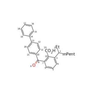 CCCCCC(CC)c1cccc(C(=O)c2ccc(-c3ccccc3)cc2)c1C(=O)O